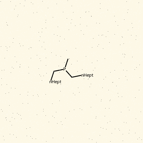 [CH2]P(CCCCCCCC)CCCCCCCC